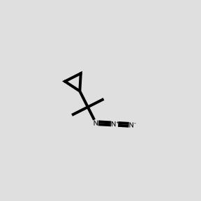 CC(C)(N=[N+]=[N-])C1CC1